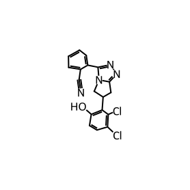 N#Cc1ccccc1-c1nnc2n1CC(c1c(O)ccc(Cl)c1Cl)C2